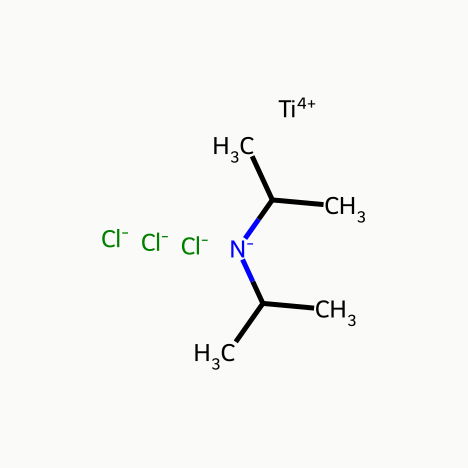 CC(C)[N-]C(C)C.[Cl-].[Cl-].[Cl-].[Ti+4]